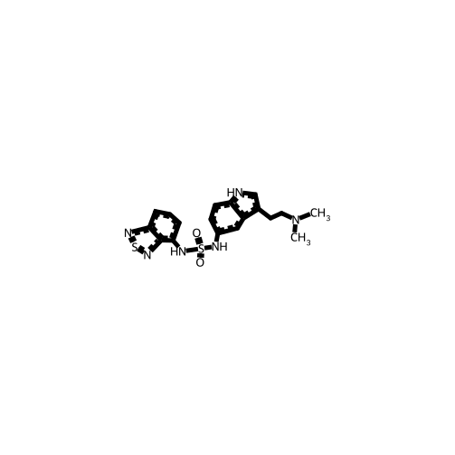 CN(C)CCc1c[nH]c2ccc(NS(=O)(=O)Nc3cccc4nsnc34)cc12